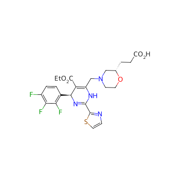 CCOC(=O)C1=C(CN2CCO[C@@H](CCC(=O)O)C2)NC(c2nccs2)=N[C@H]1c1ccc(F)c(F)c1F